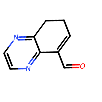 O=CC1=CCCc2nccnc21